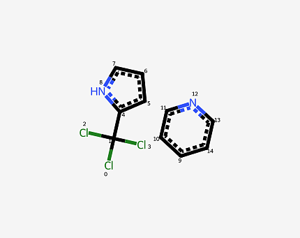 ClC(Cl)(Cl)c1ccc[nH]1.c1ccncc1